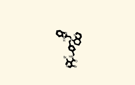 O=C(NCc1ccc(CN(Cc2nc3ccccc3[nH]2)C2CCCc3cccnc32)cc1)c1c(Br)cncc1Br